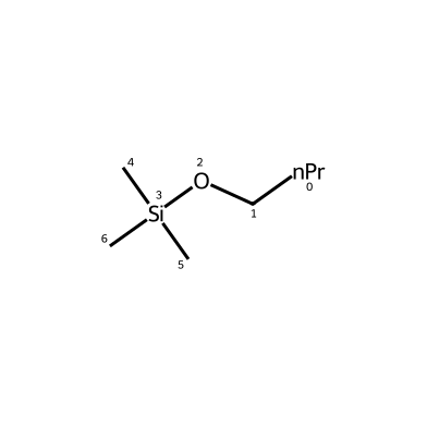 [CH2]CCCO[Si](C)(C)C